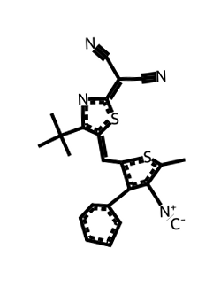 [C-]#[N+]c1c(C)sc(/C=c2\sc(=C(C#N)C#N)nc2C(C)(C)C)c1-c1ccccc1